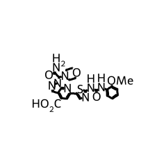 COc1ccccc1NC(=O)Nc1ncc(-c2cc(C(=O)O)c3cnn(C(C(N)=O)N4CCOCC4)c3n2)s1